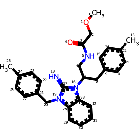 COCC(=O)NCC(Cc1ccc(C)cc1)n1c(=N)n(Cc2ccc(C)cc2)c2ccccc21